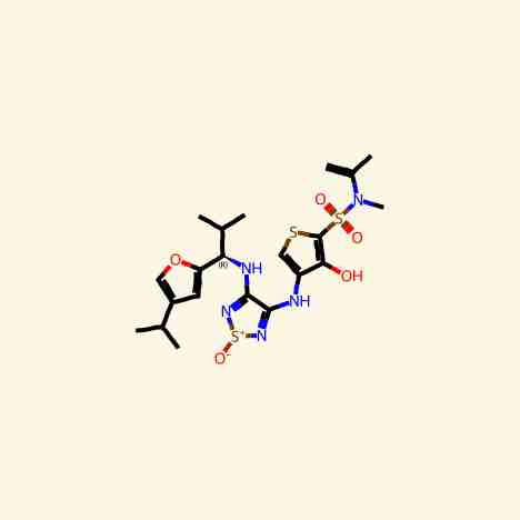 C=C(C)N(C)S(=O)(=O)c1scc(Nc2n[s+]([O-])nc2N[C@@H](c2cc(C(C)C)co2)C(C)C)c1O